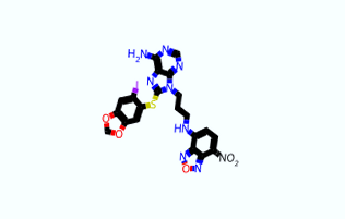 Nc1ncnc2c1nc(Sc1cc3c(cc1I)OCO3)n2CCCNc1ccc([N+](=O)[O-])c2nonc12